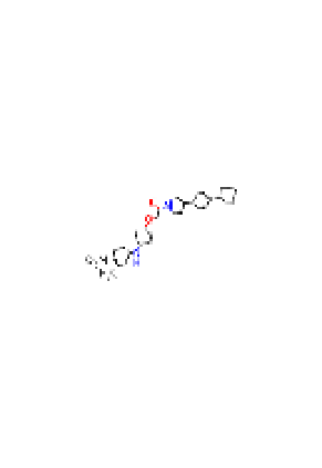 O=C(COC1CCC(Nc2ccc([N+](=O)[O-])c(C(F)(F)F)c2)CC1)N1CCC(c2ccc(-c3ccccc3)cc2)CC1